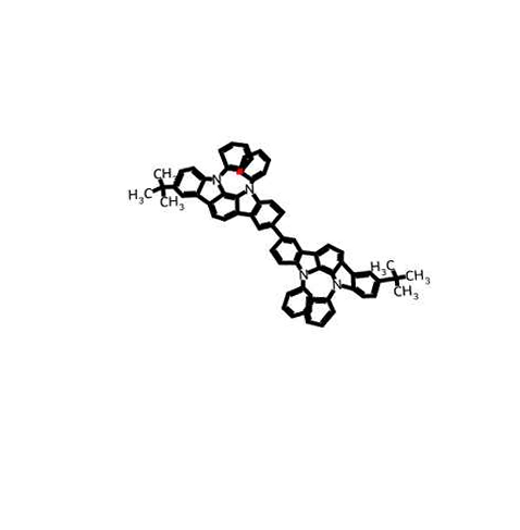 CC(C)(C)c1ccc2c(c1)c1ccc3c4cc(-c5ccc6c(c5)c5ccc7c8cc(C(C)(C)C)ccc8n(-c8ccccc8)c7c5n6-c5ccccc5)ccc4n(-c4ccccc4)c3c1n2-c1ccccc1